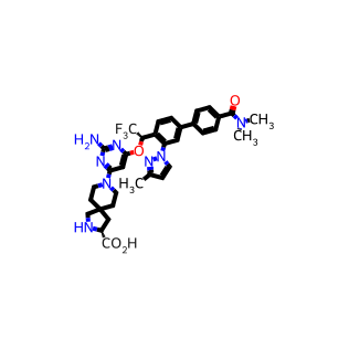 Cc1ccn(-c2cc(-c3ccc(C(=O)N(C)C)cc3)ccc2[C@@H](Oc2cc(N3CCC4(CC3)CN[C@H](C(=O)O)C4)nc(N)n2)C(F)(F)F)n1